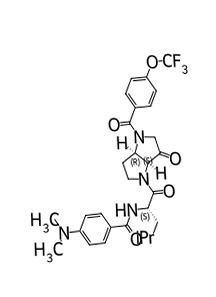 CC(C)C[C@H](NC(=O)c1ccc(N(C)C)cc1)C(=O)N1CC[C@@H]2[C@H]1C(=O)CN2C(=O)c1ccc(OC(F)(F)F)cc1